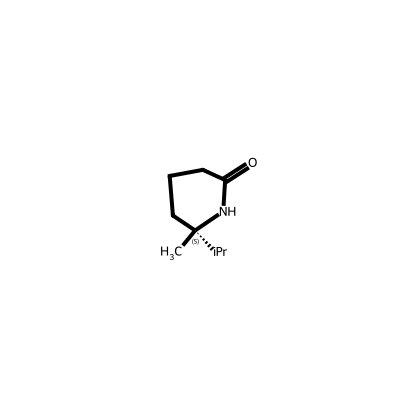 CC(C)[C@]1(C)CCCC(=O)N1